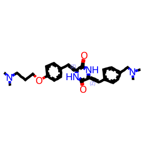 CN(C)CCCOc1ccc(/C=c2\[nH]c(=O)/c(=C/c3ccc(CN(C)C)cc3)[nH]c2=O)cc1